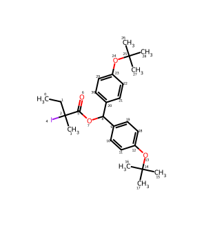 CCC(C)(I)C(=O)OC(c1ccc(OC(C)(C)C)cc1)c1ccc(OC(C)(C)C)cc1